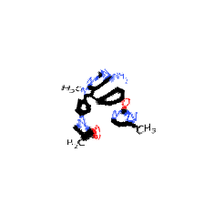 C=C1CN(c2ccc(-c3c(-c4ccc(Oc5nccc(C)n5)cc4)c4c(N)ncnc4n3C)cc2)C1=O